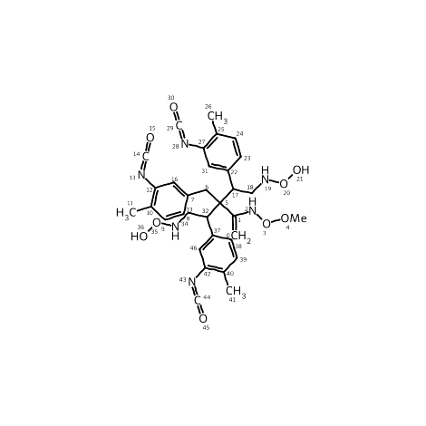 C=C(NOOC)C(Cc1ccc(C)c(N=C=O)c1)(C(CNOO)c1ccc(C)c(N=C=O)c1)C(CNOO)c1ccc(C)c(N=C=O)c1